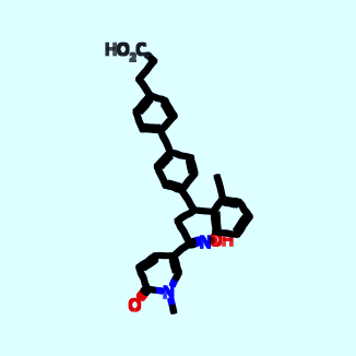 Cc1ccccc1C(C/C(=N\O)c1ccc(=O)n(C)c1)c1ccc(-c2ccc(CCC(=O)O)cc2)cc1